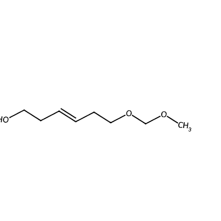 COCOCC/C=C/CCO